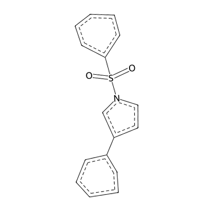 O=S(=O)(c1ccccc1)n1ccc(-c2ccccc2)c1